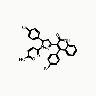 O=C(O)/C=C\C(=O)N1N=C(c2c(-c3ccc(Br)cc3)c3ccccc3[nH]c2=O)CC1c1ccc(Cl)cc1